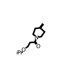 C=C1CCN(C(=O)CCOC(C)C)CC1